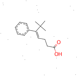 CC(C)(C)C(=CCCC(=O)O)c1ccccc1